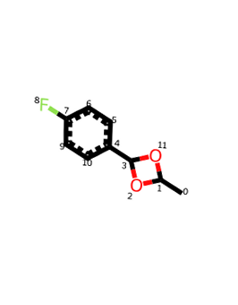 CC1OC(c2ccc(F)cc2)O1